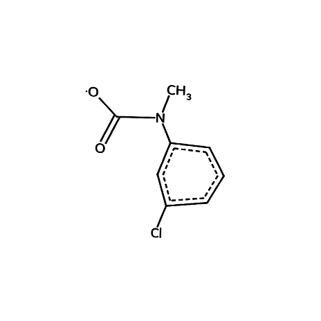 CN(C([O])=O)c1cccc(Cl)c1